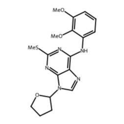 COc1cccc(Nc2nc(SC)nc3c2ncn3C2CCCO2)c1OC